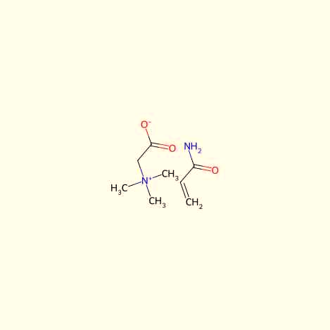 C=CC(N)=O.C[N+](C)(C)CC(=O)[O-]